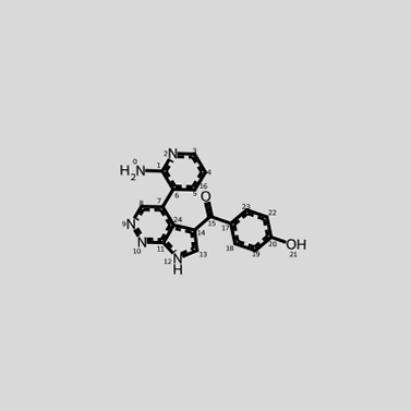 Nc1ncccc1-c1cnnc2[nH]cc(C(=O)c3ccc(O)cc3)c12